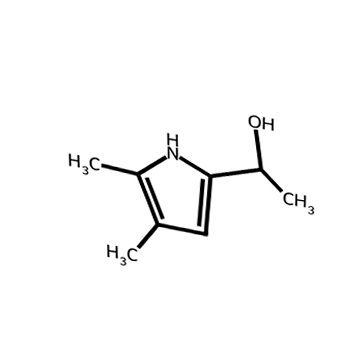 Cc1cc(C(C)O)[nH]c1C